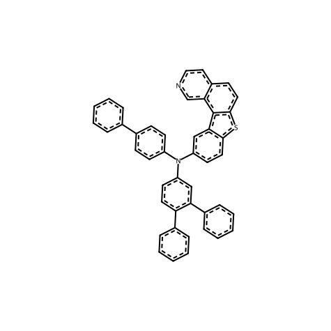 c1ccc(-c2ccc(N(c3ccc(-c4ccccc4)c(-c4ccccc4)c3)c3ccc4sc5ccc6ccncc6c5c4c3)cc2)cc1